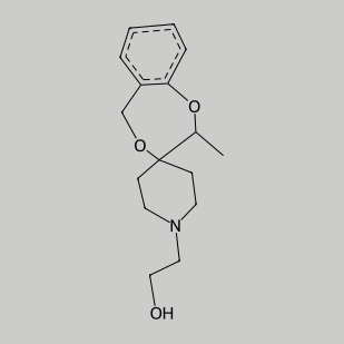 CC1Oc2ccccc2COC12CCN(CCO)CC2